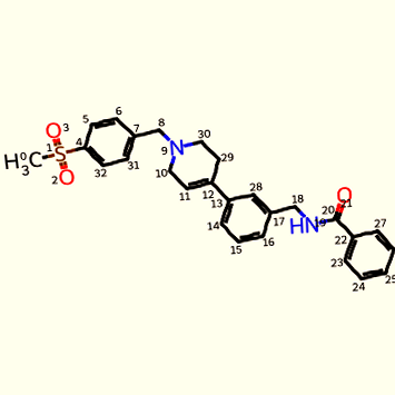 CS(=O)(=O)c1ccc(CN2CC=C(c3cccc(CNC(=O)c4ccccc4)c3)CC2)cc1